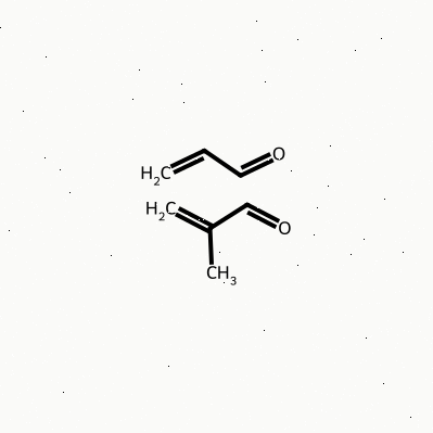 C=C(C)C=O.C=CC=O